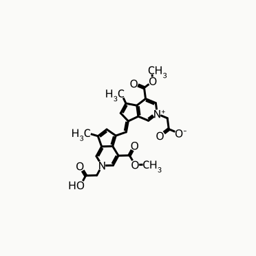 COC(=O)c1c[n+](CC(=O)[O-])cc2c1C(C)=C/C2=C\c1cc(C)c2cn(CC(=O)O)cc(C(=O)OC)c1-2